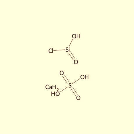 O=S(=O)(O)O.O=[Si](O)Cl.[CaH2]